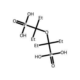 CCC(CC)(OC(CC)(CC)P(=O)(O)O)P(=O)(O)O